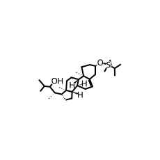 CC(C)C(O)[C@@H](C)[C@H]1CC[C@H]2[C@@H]3CC=C4C[C@@H](O[Si](C)(C)C(C)C)CC[C@]4(C)[C@H]3CC[C@]12C